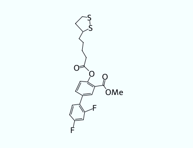 COC(=O)c1cc(-c2ccc(F)cc2F)ccc1OC(=O)CCCCC1CCSS1